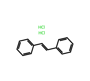 C(=C\c1ccccc1)/c1ccccc1.Cl.Cl